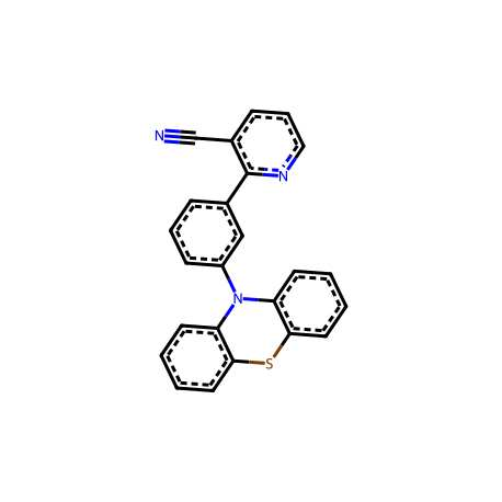 N#Cc1cccnc1-c1cccc(N2c3ccccc3Sc3ccccc32)c1